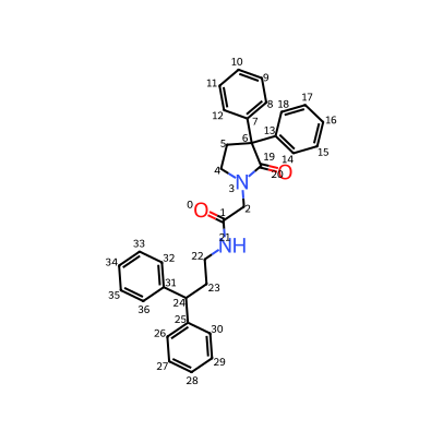 O=C(CN1CCC(c2ccccc2)(c2ccccc2)C1=O)NCCC(c1ccccc1)c1ccccc1